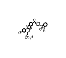 O=C(O)CCCCc1nc2cc(C(=O)N3CCC(n4c(=O)[nH]c5ccccc54)CC3)ccc2nc1-c1ccc(Cl)cc1